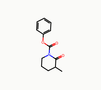 CC1CCCN(C(=O)Oc2ccccc2)C1=O